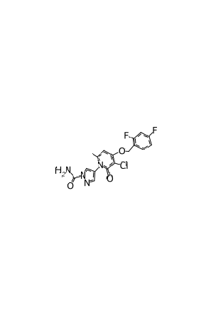 Cc1cc(OCc2ccc(F)cc2F)c(Cl)c(=O)n1-c1cnn(C(N)=O)c1